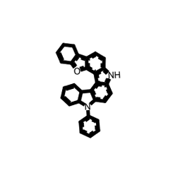 C1=CC2c3c(ccc4[nH]c5ccc6c7c(oc6c5c34)C=CCC7)N(c3ccccc3)C2C=C1